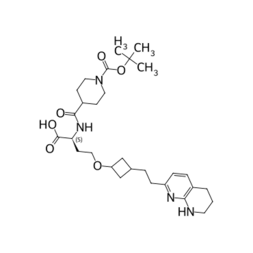 CC(C)(C)OC(=O)N1CCC(C(=O)N[C@@H](CCOC2CC(CCc3ccc4c(n3)NCCC4)C2)C(=O)O)CC1